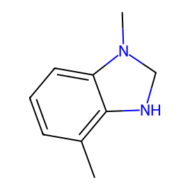 Cc1cccc2c1NCN2C